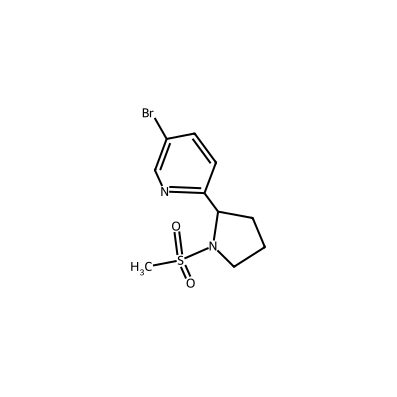 CS(=O)(=O)N1CCCC1c1ccc(Br)cn1